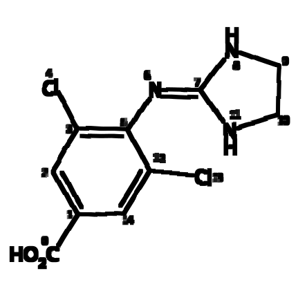 O=C(O)c1cc(Cl)c(N=C2NCCN2)c(Cl)c1